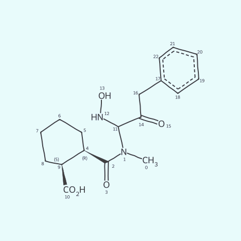 CN(C(=O)[C@@H]1CCCC[C@@H]1C(=O)O)C(NO)C(=O)Cc1ccccc1